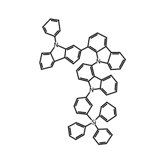 c1ccc(-n2c3ccccc3c3ccc(-c4cccc5c6ccccc6n(-c6cccc7c6c6ccccc6n7-c6cccc([Si](c7ccccc7)(c7ccccc7)c7ccccc7)c6)c45)cc32)cc1